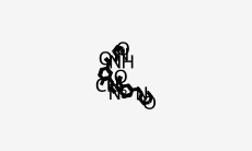 Cc1ccc(C(=O)Nc2ccon2)cc1-n1cnc2ccc(CN3CCOCC3)cc2c1=O